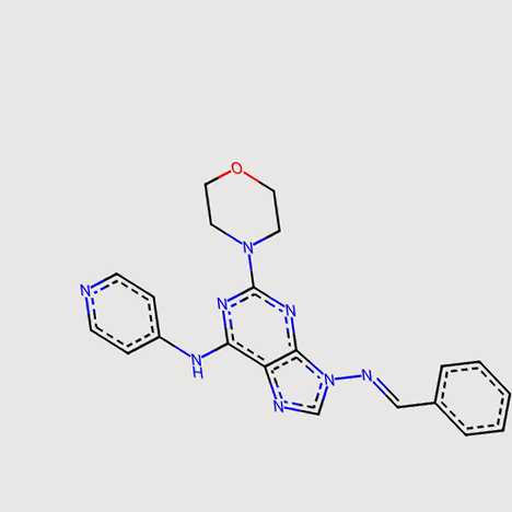 C(=N\n1cnc2c(Nc3ccncc3)nc(N3CCOCC3)nc21)/c1ccccc1